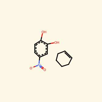 C1=CCCCC1.O=[N+]([O-])c1ccc(O)c(O)c1